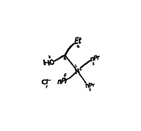 CCC[N+](CCC)(CCC)C(O)CC.[Cl-]